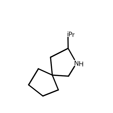 CC(C)C1CC2(CCCC2)CN1